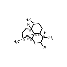 C[C@H]1CC[C@H]2[C@@H](C)C(O)O[C@@H]3O[C@]4(C)CC[C@H]1[C@]32OO4